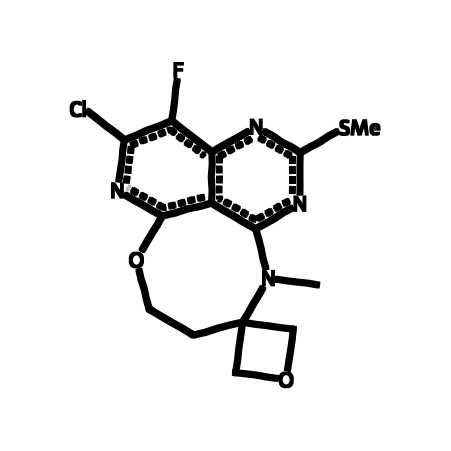 CSc1nc2c3c(nc(Cl)c(F)c3n1)OCCC1(COC1)N2C